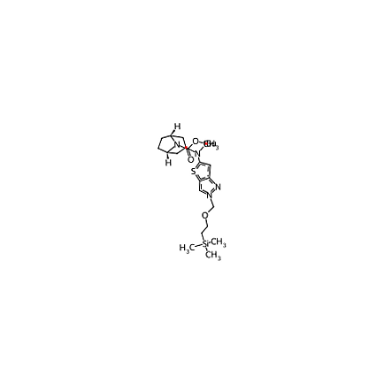 CN(c1cc2nn(COCC[Si](C)(C)C)cc2s1)C1C[C@H]2CC[C@@H](C1)N2C(=O)OC(C)(C)C